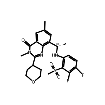 Cc1cc([C@H](C)Nc2ccc(F)c(F)c2S(C)(=O)=O)c2nc(C3CCOCC3)n(C)c(=O)c2c1